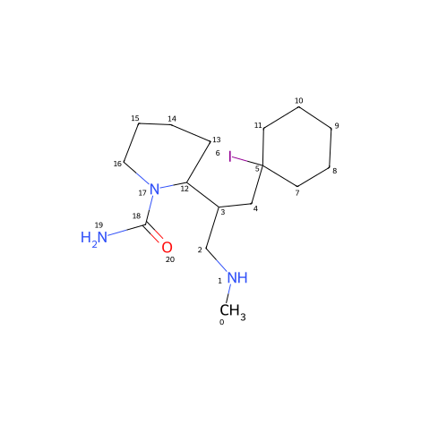 CNCC(CC1(I)CCCCC1)C1CCCCN1C(N)=O